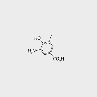 Cc1cc(C(=O)O)cc(N)c1O